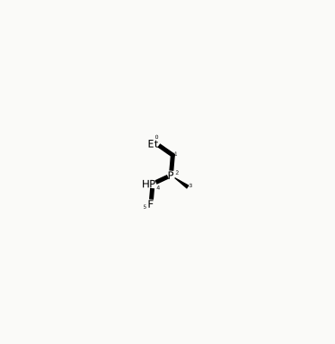 CCC[P@@](C)PF